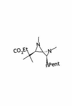 CCCCC[C@@H]1N(C)[C@@]12[C@@H](C(C)(C)C(=O)OCC)N2C